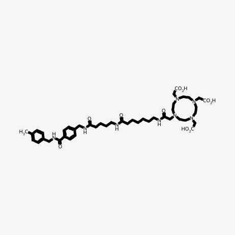 Cc1ccc(CNC(=O)c2ccc(CNC(=O)CCCCNC(=O)CCCCCCNC(=O)CN3CCN(CC(=O)O)CCN(CC(=O)O)CCN(CC(=O)O)CC3)cc2)cc1